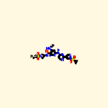 CC(C)Nc1cc(Nc2ccnc(-c3cnn(S(=O)(=O)C4CC4)c3)n2)ncc1C(=O)NC1CN(S(C)(=O)=O)C1